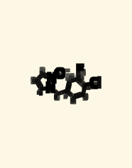 [O-][n+]1cccn1Cc1ccc(Cl)c(F)c1